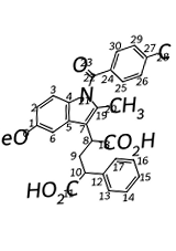 COc1ccc2c(c1)c(C(CC(C(=O)O)c1ccccc1)C(=O)O)c(C)n2C(=O)c1ccc(Cl)cc1